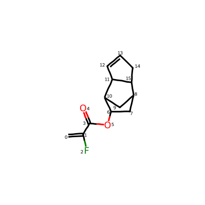 C=C(F)C(=O)OC1CC2CC1C1C=CCC21